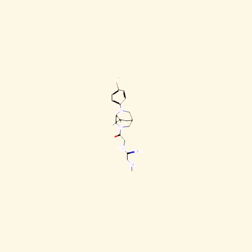 CCOc1ccc(N2C[C@H]3CN(C(=O)CNC(=N)CNC(=O)O)C[C@@H]2C(C)(C)C3)cc1